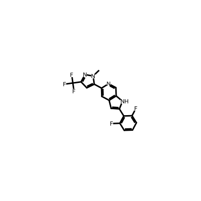 Cn1nc(C(F)(F)F)cc1-c1cc2cc(-c3c(F)cccc3F)[nH]c2cn1